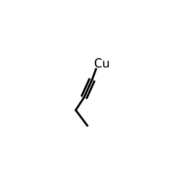 CCC#[C][Cu]